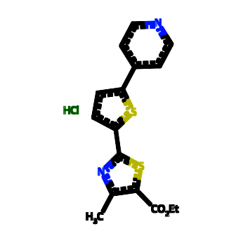 CCOC(=O)c1sc(-c2ccc(-c3ccncc3)s2)nc1C.Cl